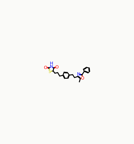 Cc1oc(-c2ccccc2)nc1CCc1ccc(CCCC2SC(=O)NC2=O)cc1